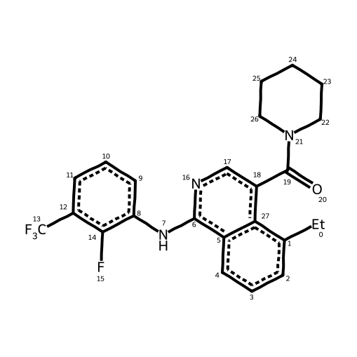 CCc1cccc2c(Nc3cccc(C(F)(F)F)c3F)ncc(C(=O)N3CCCCC3)c12